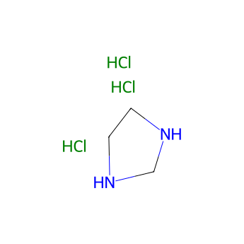 C1CNCN1.Cl.Cl.Cl